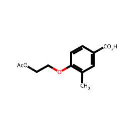 CC(=O)OCCOc1ccc(C(=O)O)cc1C